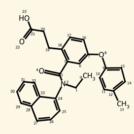 CCN(C(=O)c1cc(Oc2ccc(C)cc2)ccc1CCC(=O)O)c1cccc2ccccc12